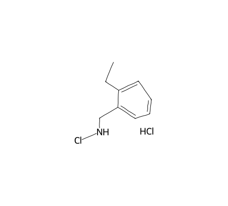 CCc1ccccc1CNCl.Cl